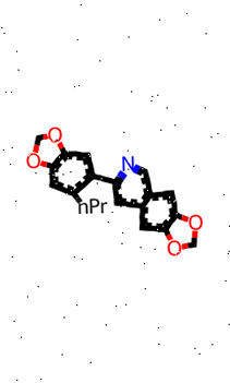 CCCc1cc2c(cc1-c1cc3cc4c(cc3cn1)OCO4)OCO2